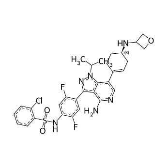 CC(C)n1nc(-c2cc(F)c(NS(=O)(=O)c3ccccc3Cl)cc2F)c2c(N)ncc(C3=CC[C@H](NC4COC4)CC3)c21